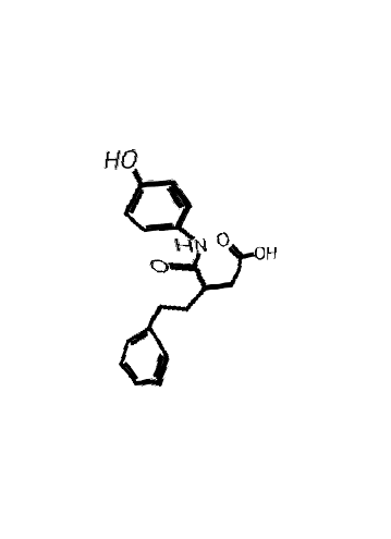 O=C(O)CC(CCc1ccccc1)C(=O)Nc1ccc(O)cc1